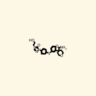 NC(=O)C1(c2cccc(Sc3ccc(-n4ncn(CCO)c4=O)cc3)c2)CCOCC1